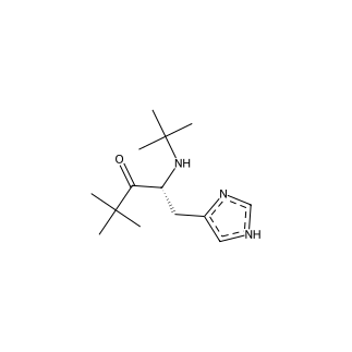 CC(C)(C)N[C@H](Cc1c[nH]cn1)C(=O)C(C)(C)C